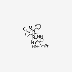 CCCN1CNc2ncnc(N[C@@H](C)c3nc4cccc(Cl)c4c(=O)n3-c3ccccc3)c2C1=O